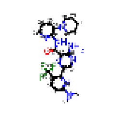 CN(C)c1ccc(C(F)(F)F)c(-c2cnc(N)c(C(=O)Nc3ncccc3N3CCCCC3)n2)n1